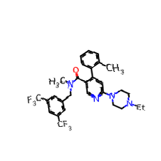 CCN1CCN(c2cc(-c3ccccc3C)c(C(=O)N(C)Cc3cc(C(F)(F)F)cc(C(F)(F)F)c3)cn2)CC1